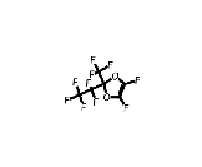 FC1=C(F)OC(C(F)(F)F)(C(F)(F)C(F)(F)F)O1